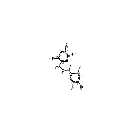 CC(OC(C)c1cc(F)c(Br)cc1F)c1cc(F)c(Br)cc1F